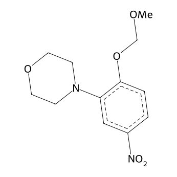 COCOc1ccc([N+](=O)[O-])cc1N1CCOCC1